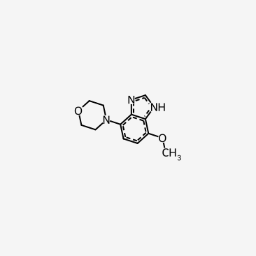 COc1ccc(N2CCOCC2)c2nc[nH]c12